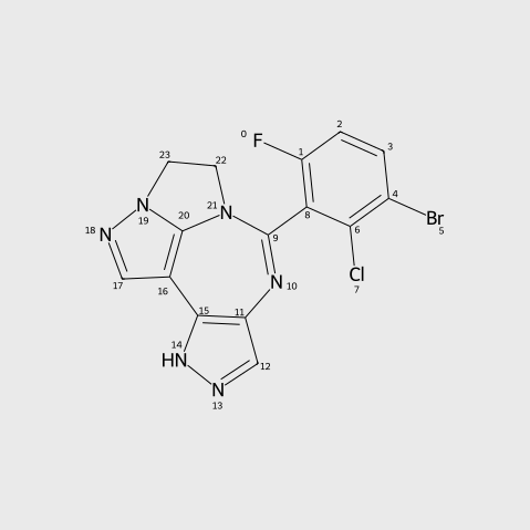 Fc1ccc(Br)c(Cl)c1C1=Nc2cn[nH]c2-c2cnn3c2N1CC3